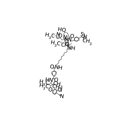 Cc1cc([C@H](C(=O)N2C[C@H](O)C[C@H]2C(=O)N[C@@H](CC(=O)NCCCCCCCCCNC(=O)c2ccc(C(=O)N[C@H]3C(C)(C)[C@H](Oc4ccc(C#N)c(Cl)c4)C3(C)C)cc2)c2ccc(-c3scnc3C)cc2)C(C)C)on1